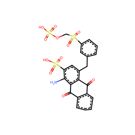 Nc1c(S(=O)(=O)O)cc(Cc2cccc(S(=O)(=O)COS(=O)(=O)O)c2)c2c1C(=O)c1ccccc1C2=O